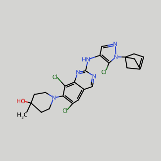 CC1(O)CCN(c2c(Cl)cc3cnc(Nc4cnn(C56CC=C(C5)C6)c4Cl)nc3c2Cl)CC1